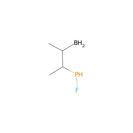 BC(C)C(C)PF